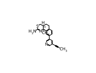 CC#Cc1cncc(-c2ccc3c(c2)[C@@]2(C)N=C(N)SC[C@H]2CC3)c1